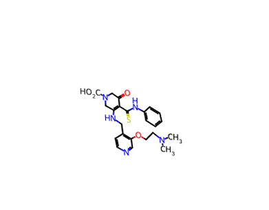 CN(C)CCOc1cnccc1CNC1=C(C(=S)Nc2ccccc2)C(=O)CN(C(=O)O)C1